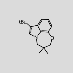 CC1(C)COc2cccc3c(C(C)(C)C)cn(c23)C1